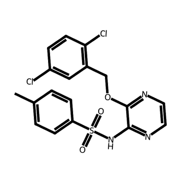 Cc1ccc(S(=O)(=O)Nc2nccnc2OCc2cc(Cl)ccc2Cl)cc1